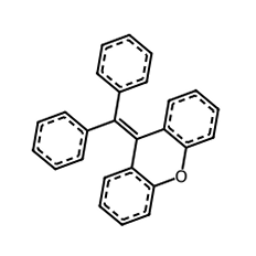 c1ccc(C(=C2c3ccccc3Oc3ccccc32)c2ccccc2)cc1